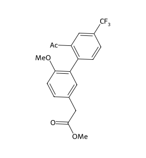 COC(=O)Cc1ccc(OC)c(-c2ccc(C(F)(F)F)cc2C(C)=O)c1